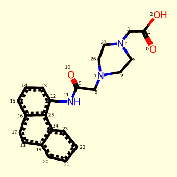 O=C(O)CN1CCN(CC(=O)Nc2cccc3ccc4ccccc4c23)CC1